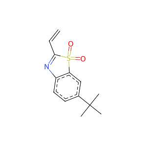 C=CC1=Nc2ccc(C(C)(C)C)cc2S1(=O)=O